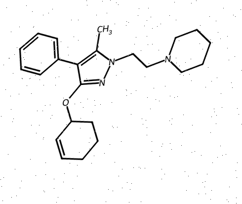 Cc1c(-c2ccccc2)c(OC2C=CCCC2)nn1CCN1CCCCC1